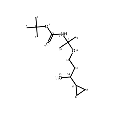 CC(C)(C)OC(=O)NC(C)(C)OCCC(O)C1CC1